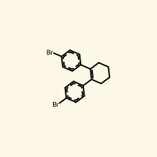 Brc1ccc(C2=C(c3ccc(Br)cc3)CCCC2)cc1